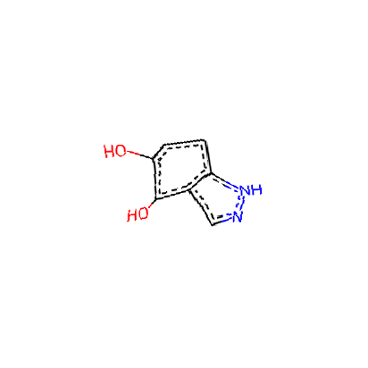 Oc1ccc2[nH]ncc2c1O